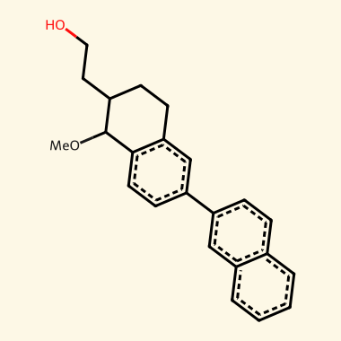 COC1c2ccc(-c3ccc4ccccc4c3)cc2CCC1CCO